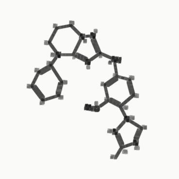 COc1cc(Nc2nc3n(n2)CCCN3c2ccccc2)ccc1-n1cnc(C)n1